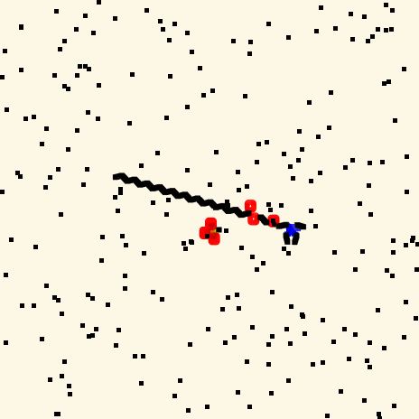 CCCCCCCCCCCCCCCCCCCCCC(=O)OCCOCC[N+](CC)(CC)CC.CS(=O)(=O)[O-]